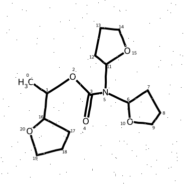 CC(OC(=O)N(C1CCCO1)C1CCCO1)C1CCCO1